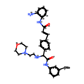 COc1cccc(NC(=O)C(NCCN2CCOCC2)c2ccc(/C=C/C(=O)Nc3ccccc3N)cc2)c1